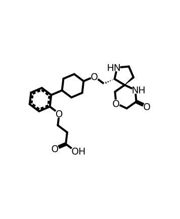 O=C(O)CCOc1ccccc1C1CCC(OC[C@@H]2NCC[C@@]23COCC(=O)N3)CC1